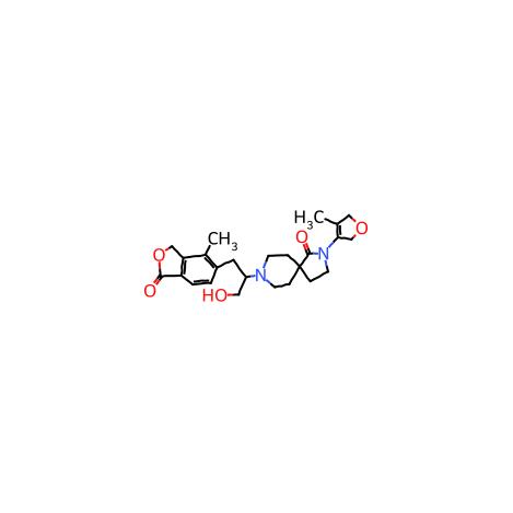 CC1=C(N2CCC3(CCN(C(CO)Cc4ccc5c(c4C)COC5=O)CC3)C2=O)COC1